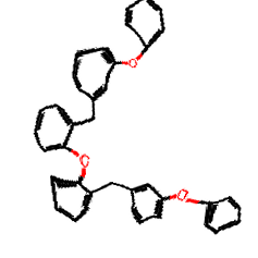 c1ccc(Oc2cccc(Cc3ccccc3Oc3ccccc3Cc3cccc(Oc4ccccc4)c3)c2)cc1